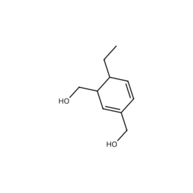 CCC1C=CC(CO)=CC1CO